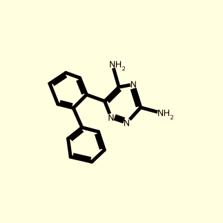 Nc1nnc(-c2ccccc2-c2ccccc2)c(N)n1